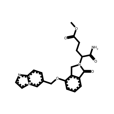 COC(=O)CCC(C(N)=O)N1Cc2c(OCc3ccc4nccn4c3)cccc2C1=O